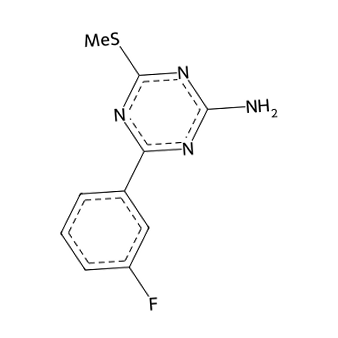 CSc1nc(N)nc(-c2cccc(F)c2)n1